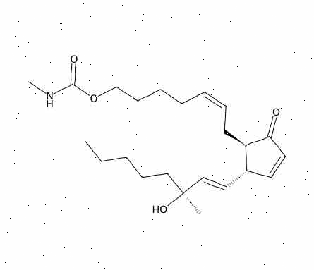 CCCCC[C@](C)(O)/C=C/[C@H]1C=CC(=O)[C@@H]1C/C=C\CCCCOC(=O)NC